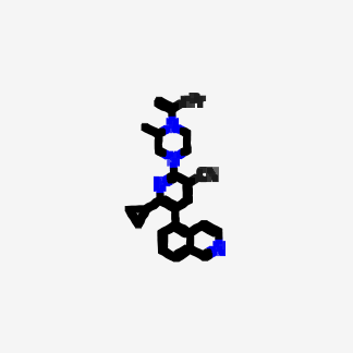 C=C(CCC)N1CCN(c2nc(C3CC3)c(-c3cccc4cnccc34)cc2C#N)CC1C